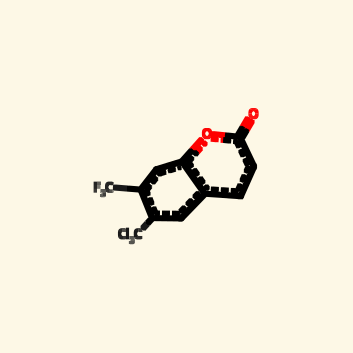 O=c1ccc2cc(C(Cl)(Cl)Cl)c(C(F)(F)F)cc2o1